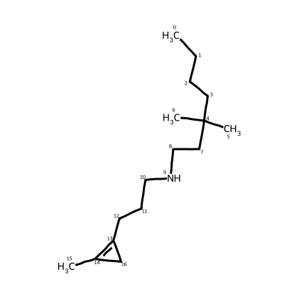 CCCCC(C)(C)CCNCCCC1=C(C)C1